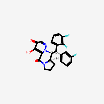 O=C1c2c(O)c(=O)cnn2[C@@H]([C@@H](c2cccc(F)c2)c2cccc(F)c2F)[C@H]2CCCN12